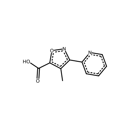 Cc1c(-c2ccccn2)noc1C(=O)O